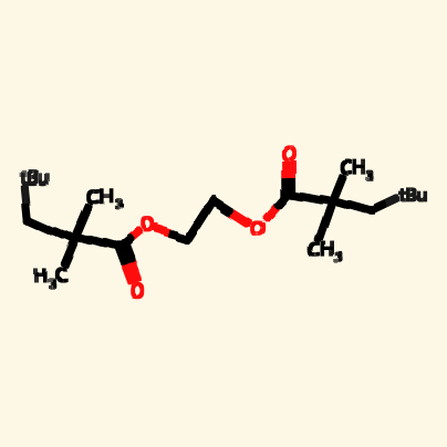 CC(C)(C)CC(C)(C)C(=O)OCCOC(=O)C(C)(C)CC(C)(C)C